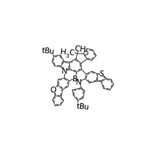 CC(C)(C)c1ccc(N2B3c4cc5c(cc4-n4c6ccc(C(C)(C)C)cc6c6c7c(c(c3c64)-c3cc4sc6ccccc6c4cc32)-c2ccccc2C7(C)C)oc2ccccc25)cc1